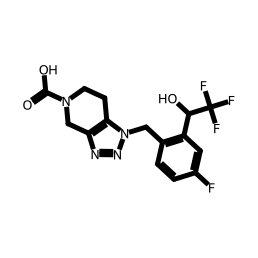 O=C(O)N1CCc2c(nnn2Cc2ccc(F)cc2C(O)C(F)(F)F)C1